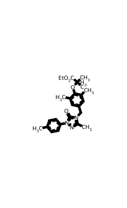 CCOC(=O)C(C)(C)Oc1c(C)cc(Cn2c(C)nn(-c3ccc(C)cc3)c2=O)cc1C